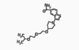 CC(C)OCCOCCOC1CCN(c2csc3ccc(C(N)=O)cc23)CC1